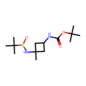 CC1(N[S+]([O-])C(C)(C)C)CC(NC(=O)OC(C)(C)C)C1